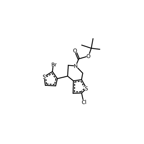 CC(C)(C)OC(=O)N1Cc2sc(Cl)cc2C(c2ccsc2Br)C1